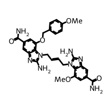 COc1ccc(COc2cc(C(N)=O)cc3nc(N)n(C/C=C/Cn4c(N)nc5cc(C(N)=O)cc(OC)c54)c23)cc1